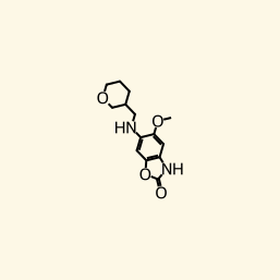 COc1cc2[nH]c(=O)oc2cc1NCC1CCCOC1